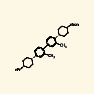 CCCCCCCCC[C@H]1CC[C@H](c2ccc(-c3ccc([C@H]4CC[C@H](CCC)CC4)cc3C)cc2C)CC1